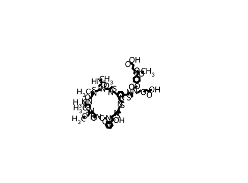 CNC(=O)C[C@@H]1NC(=O)c2csc(n2)-c2ccc(-c3nc(N(CCOCC(=O)O)C(=O)O[C@H]4CC[C@](CCCCC(=O)O)(C(=O)OC)CC4)cs3)nc2-c2csc(n2)-c2csc(n2)[C@H]([C@@H](O)c2ccccc2)NC(=O)CNC(=O)c2nc(sc2COC)C(C(C)C)NC(=O)c2nc1sc2C